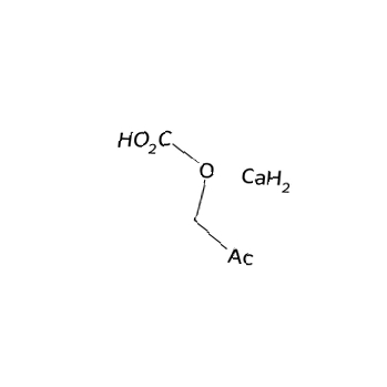 CC(=O)COC(=O)O.[CaH2]